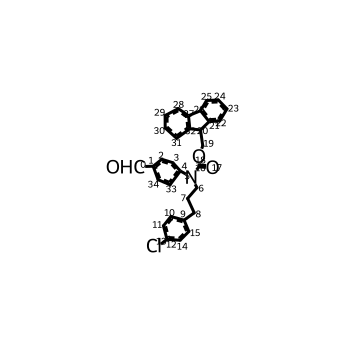 O=Cc1ccc(N(CCCc2ccc(Cl)cc2)C(=O)OCC2c3ccccc3-c3ccccc32)cc1